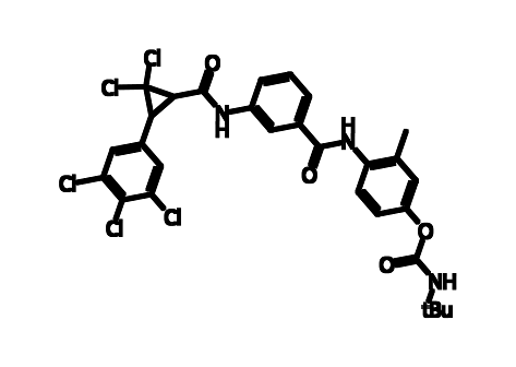 Cc1cc(OC(=O)NC(C)(C)C)ccc1NC(=O)c1cccc(NC(=O)C2C(c3cc(Cl)c(Cl)c(Cl)c3)C2(Cl)Cl)c1